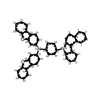 c1ccc2c(c1)ccc1c2c2ccccc2n1-c1ccc(N(c2ccc3c(c2)oc2ccccc23)c2ccc3c(c2)oc2ccccc23)cc1